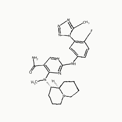 Cc1nnnn1-c1cc(Nc2ncc(C(N)=O)c(N(C)[C@H]3CCCN4CCCC[C@H]34)n2)ccc1F